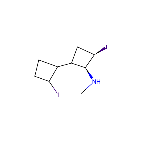 CN[C@H]1C(C2CCC2I)C[C@H]1I